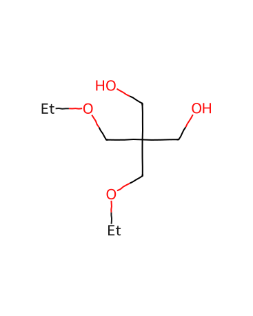 CCOCC(CO)(CO)COCC